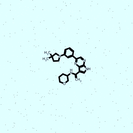 C=C(NC1CCCOC1)c1c[nH]c2ncc(-c3cccc(N4CCC(C)(C)C4)c3)nc12